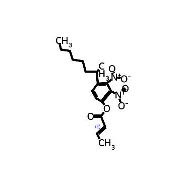 C/C=C/C(=O)Oc1ccc(C(C)CCCCCC)c([N+](=O)[O-])c1[N+](=O)[O-]